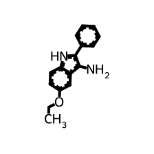 CCOc1ccc2[nH]c(-c3ccccc3)c(N)c2c1